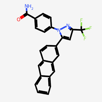 NC(=O)c1ccc(-n2nc(C(F)(F)F)cc2-c2ccc3cc4ccccc4cc3c2)cc1